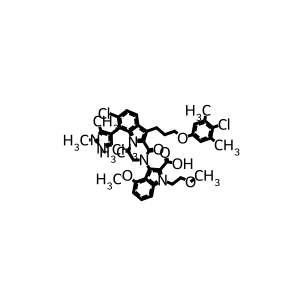 COCCn1c(C(=O)O)c(N2CC(C)n3c(c(CCCOc4cc(C)c(Cl)c(C)c4)c4ccc(Cl)c(-c5c(C)nn(C)c5C)c43)C2=O)c2c(OC)cccc21